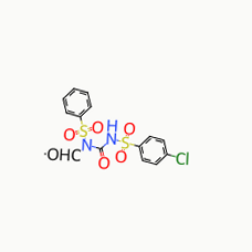 O=[C]N(C(=O)NS(=O)(=O)c1ccc(Cl)cc1)S(=O)(=O)c1ccccc1